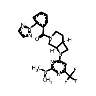 CN(C)c1nc(N2C[C@@H]3CCN(C(=O)c4ccccc4-n4nccn4)C[C@@H]32)cc(C(F)(F)F)n1